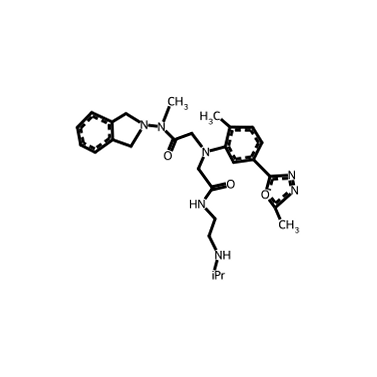 Cc1nnc(-c2ccc(C)c(N(CC(=O)NCCNC(C)C)CC(=O)N(C)N3Cc4ccccc4C3)c2)o1